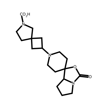 O=C(O)N1CCC2(CC(N3CCC4(CC3)OC(=O)N3CCCC34)C2)C1